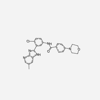 Cc1cnc2nc(-c3cc(NC(=O)c4ccc(N5CCOCC5)cc4)ccc3Cl)[nH]c2c1